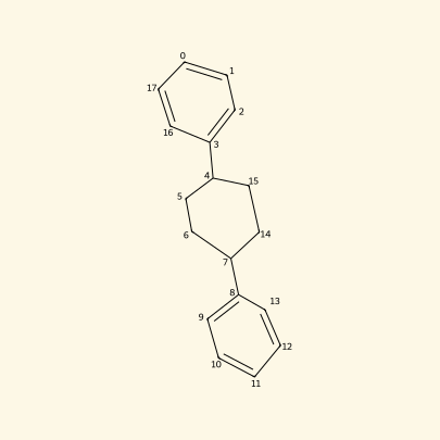 c1ccc(C2CCC(c3ccccc3)CC2)cc1